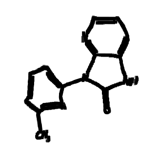 Cc1cccc(-n2c(=O)[nH]c3cccnc32)n1